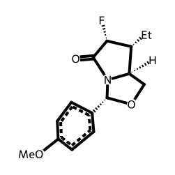 CC[C@@H]1[C@H]2CO[C@H](c3ccc(OC)cc3)N2C(=O)[C@@H]1F